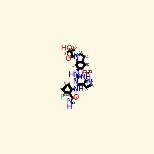 CNC(=O)c1c(F)cccc1Nc1nc(Nc2cc3c(cc2OC)CCN3C(=O)C(C)(C)O)[nH]c2nccc1-2